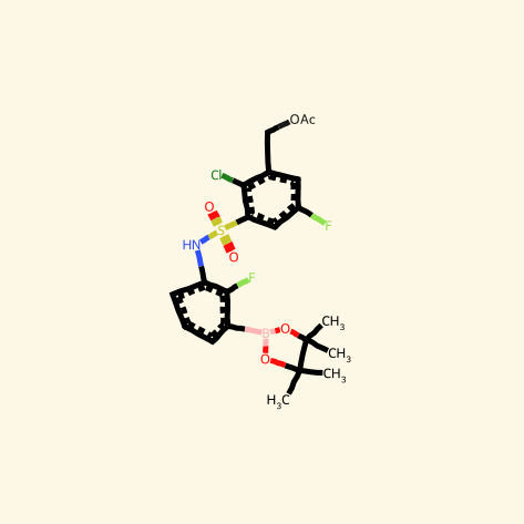 CC(=O)OCc1cc(F)cc(S(=O)(=O)Nc2cccc(B3OC(C)(C)C(C)(C)O3)c2F)c1Cl